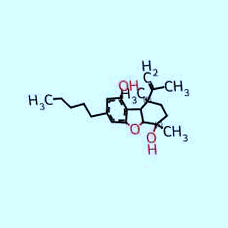 C=C(C)[C@]1(C)CC[C@](C)(O)C2Oc3cc(CCCCC)cc(O)c3C21